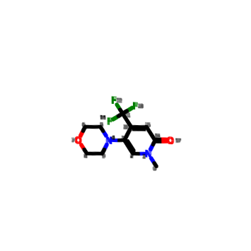 Cn1cc(N2CCOCC2)c(C(F)(F)F)cc1=O